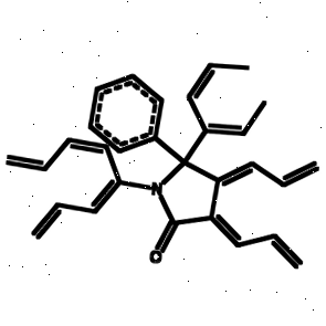 C=C/C=C\C(=C/C=C)N1C(=O)C(=C/C=C)/C(=C\C=C)C1(C(/C=C\C)=C/C)c1ccccc1